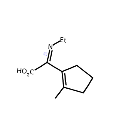 CC/N=C(/C(=O)O)C1=C(C)CCC1